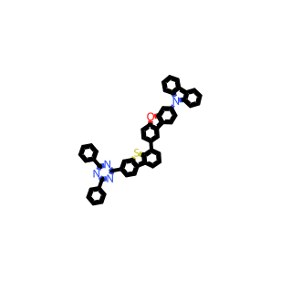 c1ccc(-c2nc(-c3ccccc3)nc(-c3ccc4c(c3)sc3c(-c5ccc6oc7cc(-n8c9ccccc9c9ccccc98)ccc7c6c5)cccc34)n2)cc1